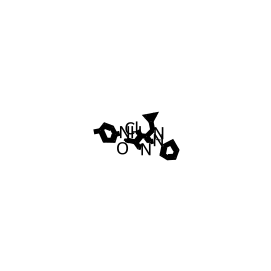 Cc1ccc(NC(=O)c2cnc3c(c(C4CC4)nn3-c3ccccc3)c2Cl)cc1